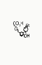 CCN1CCC(C)(c2cc(CCOCCC(=O)O)ccc2O)CC1